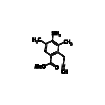 C#CCc1c(C(=O)OC)cc(C)c([SiH3])c1C